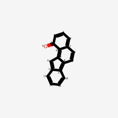 O=C1C=CC=c2ccc3c(c21)C=c1ccccc1=3